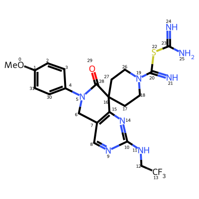 COc1ccc(N2Cc3cnc(NCC(F)(F)F)nc3C3(CCN(C(=N)SC(=N)N)CC3)C2=O)cc1